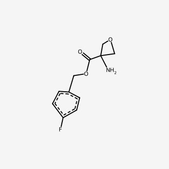 NC1(C(=O)OCc2ccc(F)cc2)COC1